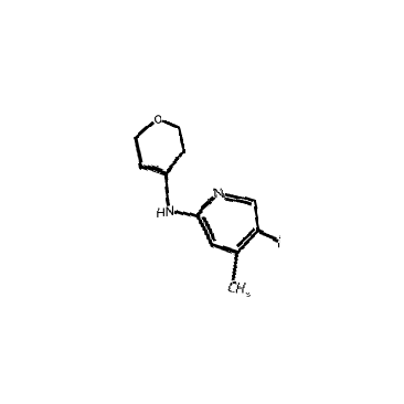 Cc1cc(NC2CCOCC2)ncc1I